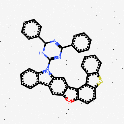 c1ccc(C2=NC(c3ccccc3)NC(n3c4ccccc4c4cc5oc6ccc7sc8ccccc8c7c6c5cc43)=N2)cc1